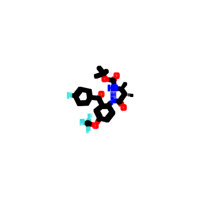 C[C@H](NC(=O)OC(C)(C)C)[C@H](C)C(=O)Nc1ccc(OC(F)(F)F)cc1C(=O)c1ccc(F)cc1